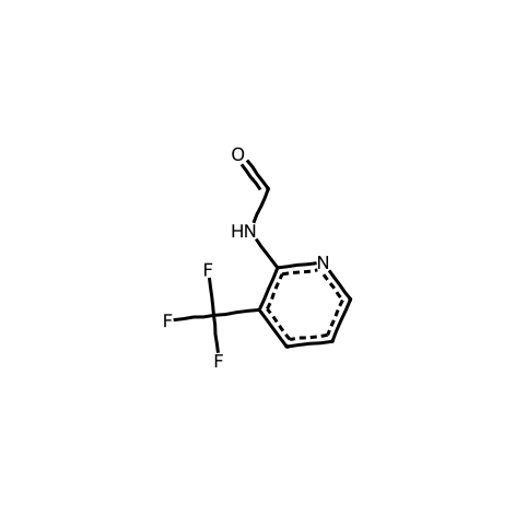 O=CNc1ncccc1C(F)(F)F